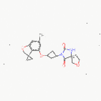 Cc1cc2c(c(OC3CC(N4C(=O)N[C@@]5(CCOC5)C4=O)C3)c1)C1(CC1)CO2